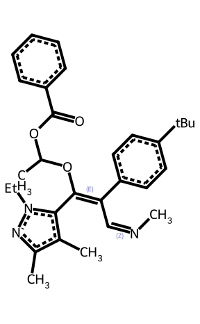 CCn1nc(C)c(C)c1/C(OC(C)OC(=O)c1ccccc1)=C(\C=N/C)c1ccc(C(C)(C)C)cc1